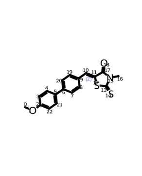 COc1ccc(-c2ccc(/C=C3\SC(=S)N(C)C3=O)cc2)cc1